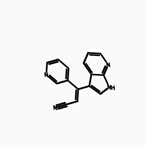 N#CC=C(c1cccnc1)c1c[nH]c2ncccc12